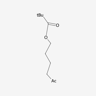 CC(=O)CCCCOC(=O)C(C)(C)C